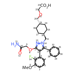 COc1cccc(-c2c(OCC(N)=O)nn(C[C@H]3CC[C@H](COCC(=O)O)CC3)c2-c2ccccc2)c1F